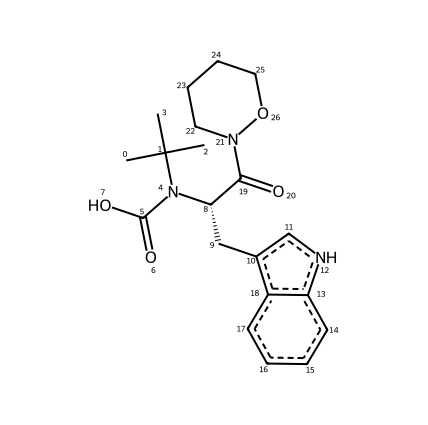 CC(C)(C)N(C(=O)O)[C@@H](Cc1c[nH]c2ccccc12)C(=O)N1CCCCO1